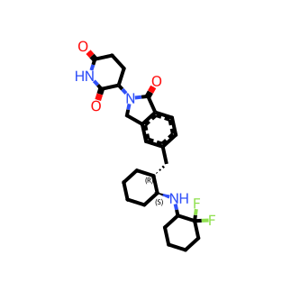 O=C1CCC(N2Cc3cc(C[C@H]4CCCC[C@@H]4NC4CCCCC4(F)F)ccc3C2=O)C(=O)N1